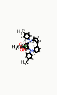 Cc1ccc(N2c3cccc(c3)-c3cccc(c3)N(c3ccc(C)cc3)c3cc(C(C)(O)O)cc2c3Cl)cc1